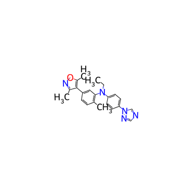 CCN(c1ccc(-n2cncn2)cc1)c1cc(-c2c(C)noc2C)ccc1C